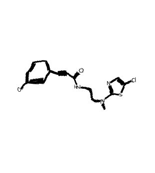 CN(CCNC(=O)C#Cc1cccc(Cl)c1)c1ncc(Cl)s1